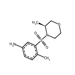 Cc1ccc(N)cc1S(=O)(=O)N1CCOC[C@@H]1C